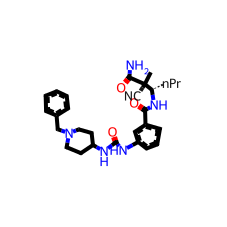 CCC[C@H](NC(=O)c1cccc(NC(=O)NC2CCN(Cc3ccccc3)CC2)c1)C(C)(C#N)C(N)=O